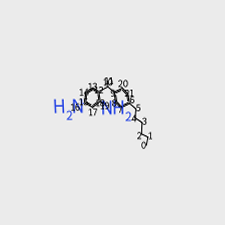 CCCCCCc1ccc(C(C)c2ccc(N)cc2N)cc1